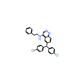 Clc1ccc(C(c2ccc(Cl)cc2)c2ccc3nncc(NCCc4ccccc4)c3c2)cc1